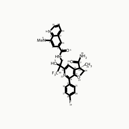 CNc1cc(C(=O)NCC(O)(c2cc3c(c(-c4ccc(F)cc4)n2)OC[C@]3(C)C(N)=O)C(F)(F)F)cc2cccnc12